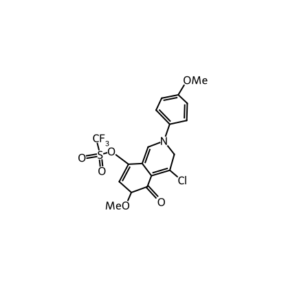 COc1ccc(N2C=C3C(OS(=O)(=O)C(F)(F)F)=CC(OC)C(=O)C3=C(Cl)C2)cc1